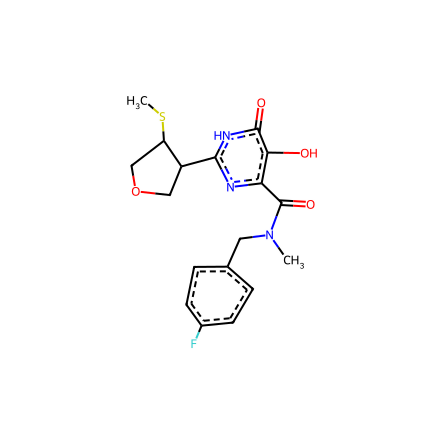 CSC1COCC1c1nc(C(=O)N(C)Cc2ccc(F)cc2)c(O)c(=O)[nH]1